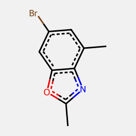 Cc1nc2c(C)cc(Br)cc2o1